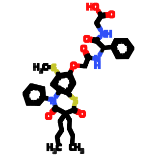 CCCCC1(CCCC)C(=O)Sc2cc(OCC(=O)N[C@@H](C(=O)NCC(=O)O)c3ccccc3)c(SC)cc2N(c2ccccc2)C1=O